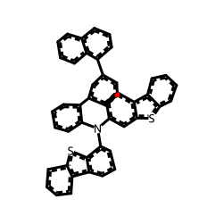 c1cc(-c2ccccc2N(c2ccc3c(c2)sc2ccccc23)c2cccc3c2sc2ccccc23)cc(-c2cccc3ccccc23)c1